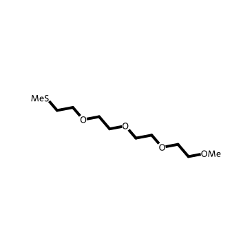 COCCOCCOCCOCCSC